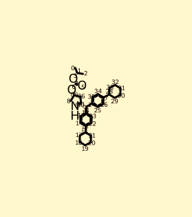 CC(C)OC(=O)O[C@H]1CN[C@@H](C(c2ccc(C3CCCCC3)cc2)c2ccc(C3CCCCC3)cc2)C1